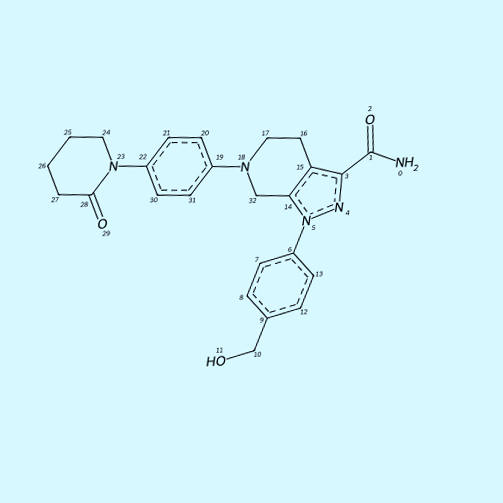 NC(=O)c1nn(-c2ccc(CO)cc2)c2c1CCN(c1ccc(N3CCCCC3=O)cc1)C2